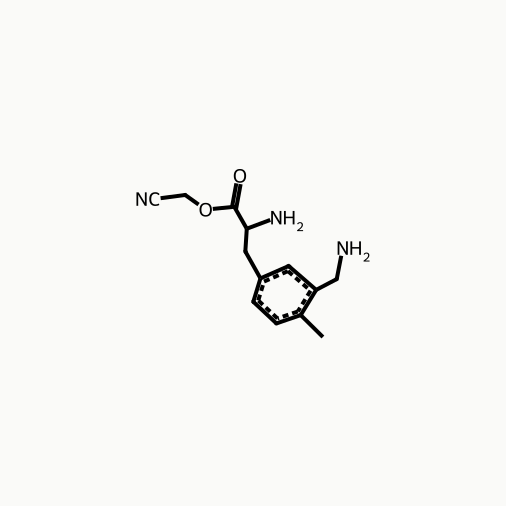 Cc1ccc(CC(N)C(=O)OCC#N)cc1CN